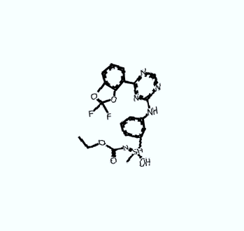 CCOC(=O)N=[SH](C)(O)Cc1cccc(Nc2ncnc(-c3cccc4c3OC(F)(F)O4)n2)c1